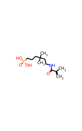 C=C(C)C(=O)NCCC(C)(C)CCCP(=O)(O)O